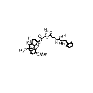 COc1ccc2c3c1O[C@H]1C(OC(=O)[C@H](C)OC(=O)CCNC(O)[C@@H](N)Cc4ccccc4)=CC[C@@]4(O)[C@@H](C2)N(C)CC[C@]314